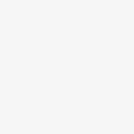 Fc1cc(-c2ccc(C3CCC(CC4CCCC4)CC3)cc2)cc(F)c1F